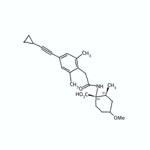 COC1CC[C@@](NC(=O)Cc2c(C)cc(C#CC3CC3)cc2C)(C(=O)O)[C@@H](C)C1